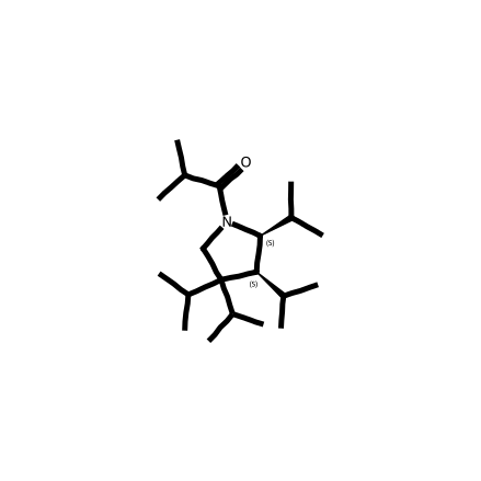 CC(C)C(=O)N1CC(C(C)C)(C(C)C)[C@H](C(C)C)[C@@H]1C(C)C